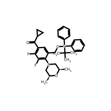 C[C@@H]1CN(c2c(CO[Si](c3ccccc3)(c3ccccc3)C(C)(C)C)cc(C(=O)C3CC3)c(F)c2F)C[C@H](C)O1